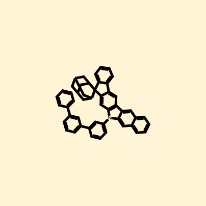 c1ccc(-c2cccc(-c3cccc(-n4c5cc6c(cc5c5cc7ccccc7cc54)-c4ccccc4C64C5CC6CC(C5)CC4C6)c3)c2)cc1